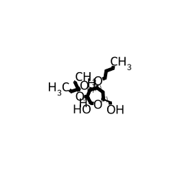 CCCCO[C@H]1C[C@@H](CO)OC(O)[C@@H]2OC(CC)(CC)O[C@H]12